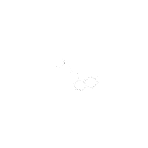 O=COC(=O)NCCc1cccc2ccccc12